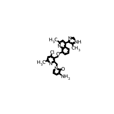 Cc1cc(Cl)c(COc2cccc3c(-c4nc[nH]c4C)cc(C)nc23)c(Cn2cccc(N)c2=O)n1